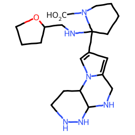 O=C(O)N1CCCCC1(NCC1CCCO1)c1cc2n(c1)C1CCNNC1NC2